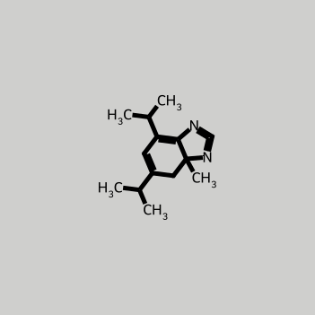 CC(C)C1=CC(C(C)C)=C2N=C=NC2(C)C1